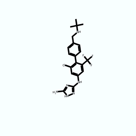 CC(C)(C)NCc1ccc(-c2c(Cl)cc(Nc3n[nH]c(N)n3)cc2C(F)(F)F)cc1